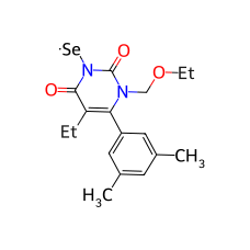 CCOCn1c(-c2cc(C)cc(C)c2)c(CC)c(=O)n([Se])c1=O